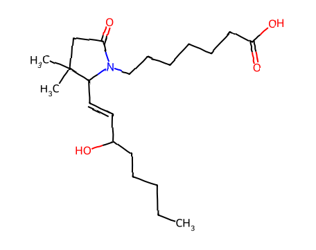 CCCCCC(O)/C=C/C1N(CCCCCCC(=O)O)C(=O)CC1(C)C